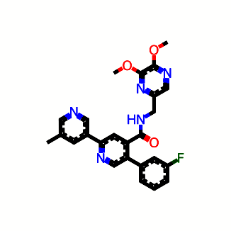 COc1ncc(CNC(=O)c2cc(-c3cncc(C)c3)ncc2-c2cccc(F)c2)nc1OC